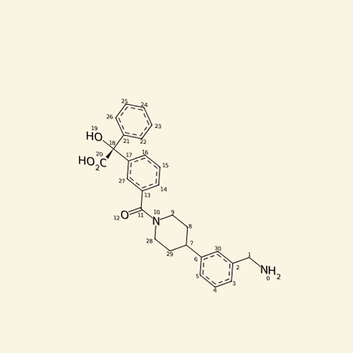 NCc1cccc(C2CCN(C(=O)c3cccc([C@@](O)(C(=O)O)c4ccccc4)c3)CC2)c1